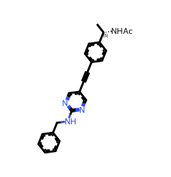 CC(=O)N[C@@H](C)c1ccc(C#Cc2cnc(NCc3ccccc3)nc2)cc1